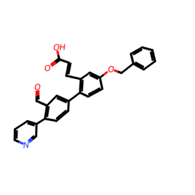 O=Cc1cc(-c2ccc(OCc3ccccc3)cc2C=CC(=O)O)ccc1-c1cccnc1